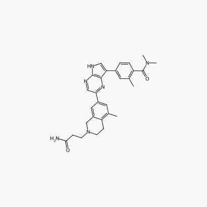 Cc1cc(-c2c[nH]c3ncc(-c4cc(C)c5c(c4)CN(CCC(N)=O)CC5)nc23)ccc1C(=O)N(C)C